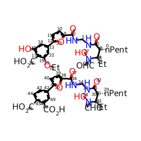 CCCCC[C@@H](C(=O)NCNC(=O)c1ccc(-c2cc(O)c(C(=O)O)c(OCC)c2)o1)[C@@H](CC)N(O)C=O.CCCCC[C@@H](C(=O)NCNC(=O)c1ccc(-c2ccc(C(=O)O)c(C(=O)O)c2)o1)[C@@H](CC)N(O)C=O